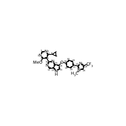 COc1ncnc(C2CC2)c1-c1ncc2[nH]cc(Oc3ccc(-c4nc(C(F)(F)F)cn4C)cc3)c2n1